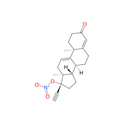 C#C[C@]1(O[N+](=O)[O-])CC[C@H]2[C@@H]3CCC4=CC(=O)CC[C@]4(C)C3=CC[C@@]21C